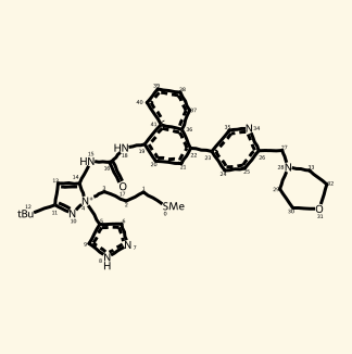 CSCCC[N+]1(c2cn[nH]c2)N=C(C(C)(C)C)C=C1NC(=O)Nc1ccc(-c2ccc(CN3CCOCC3)nc2)c2ccccc12